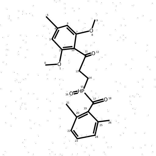 COc1cc(C)cc(OC)c1C(=O)CC[PH](=O)C(=O)c1c(C)cccc1C